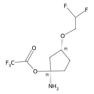 N[C@@]1(OC(=O)C(F)(F)F)CC[C@@H](OCC(F)F)C1